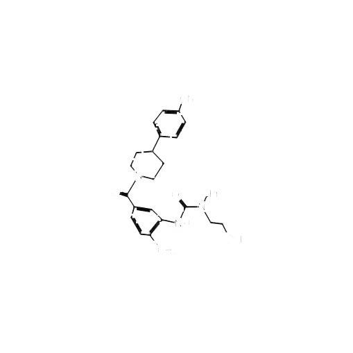 Cc1ccc(C(=O)N2CCC(c3ccc(C#N)cc3)CC2)cc1NC(=O)N(CCO)C(C)C